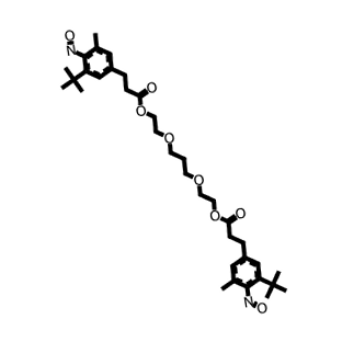 Cc1cc(CCC(=O)OCCOCCCOCCOC(=O)CCc2cc(C)c(N=O)c(C(C)(C)C)c2)cc(C(C)(C)C)c1N=O